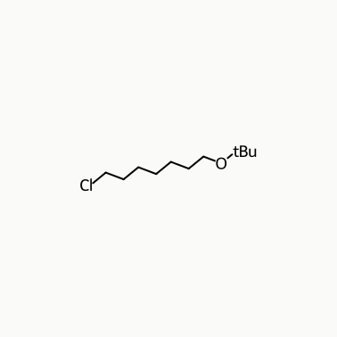 CC(C)(C)OCCCCCCCCl